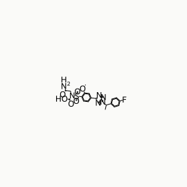 COc1cc(-c2nnn(C(C)c3ccc(F)cc3)n2)ccc1S(=O)(=O)N(CC(N)=O)C(=O)O